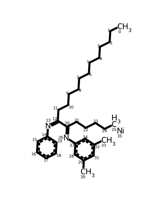 CCCCCCCCCCCCC(=Nc1ccccc1)C(CCCCC)=Nc1cc(C)cc(C)c1.[Ni]